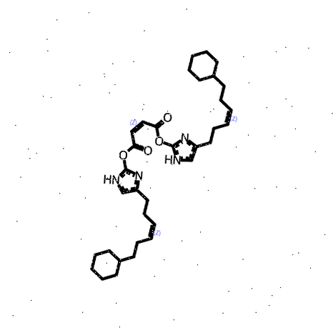 O=C(/C=C\C(=O)Oc1nc(CC/C=C\CCC2CCCCC2)c[nH]1)Oc1nc(CC/C=C\CCC2CCCCC2)c[nH]1